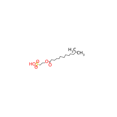 CC(C)CCCCCCCCCCC(=O)OCCCS(=O)(=O)O